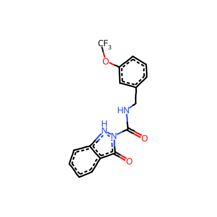 O=C(NCc1cccc(OC(F)(F)F)c1)n1[nH]c2ccccc2c1=O